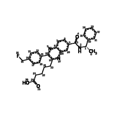 C[C@H](NC(=O)c1ccc2nc(-c3ccc(CF)cc3)c(CCCCC(=O)O)nc2c1)c1ccccc1